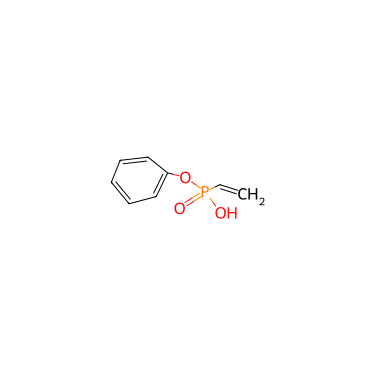 C=CP(=O)(O)Oc1ccccc1